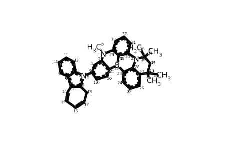 CN1c2cc(-n3c4c(c5ccccc53)C=CC=CC4)ccc2B2c3cccc4c3N(c3cccc1c32)C(C)(C)CC4(C)C